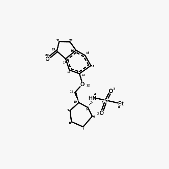 CCS(=O)(=O)N[C@@H]1CCCC[C@H]1COc1ccc2c(c1)C(=O)CC2